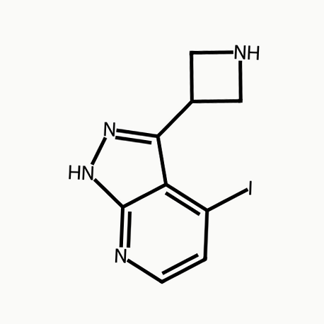 Ic1ccnc2[nH]nc(C3CNC3)c12